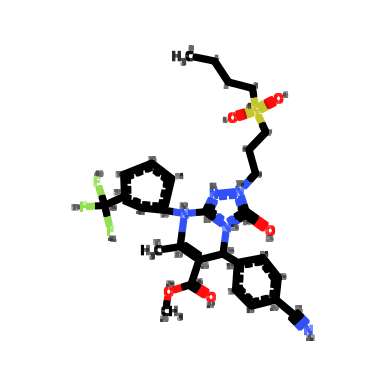 CCCCS(=O)(=O)CCCn1nc2n(c1=O)C(c1ccc(C#N)cc1)C(C(=O)OC)=C(C)N2c1cccc(C(F)(F)F)c1